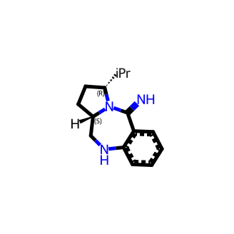 CC(C)[C@H]1CC[C@H]2CNc3ccccc3C(=N)N21